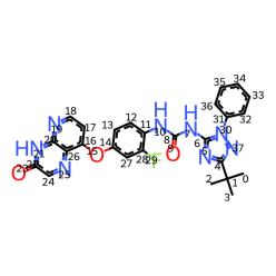 CC(C)(C)c1nc(NC(=O)Nc2ccc(Oc3ccnc4[nH]c(=O)cnc34)cc2F)n(-c2ccccc2)n1